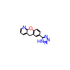 c1cnc2c(c1)Cc1cc(-c3nnn[nH]3)ccc1O2